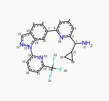 NC(c1cccc(-c2ccc3cnn(-c4cccc(C(F)(F)F)n4)c3c2)n1)C1CC1